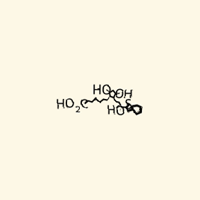 O=C(O)CCCCCC[C@@H]1C(CC[C@@H](O)c2cc3ccccc3s2)[C@H](O)C[C@@H]1O